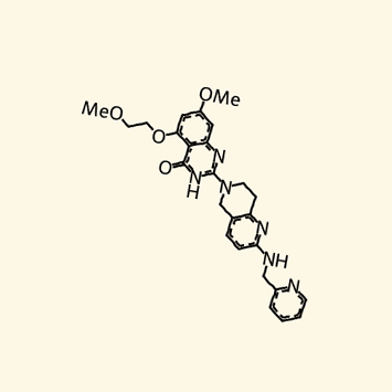 COCCOc1cc(OC)cc2nc(N3CCc4nc(NCc5ccccn5)ccc4C3)[nH]c(=O)c12